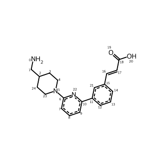 NCC1CCN(c2cccc(-c3cccc(C=CC(=O)O)c3)n2)CC1